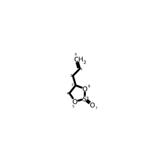 C=CCC1COS(=O)O1